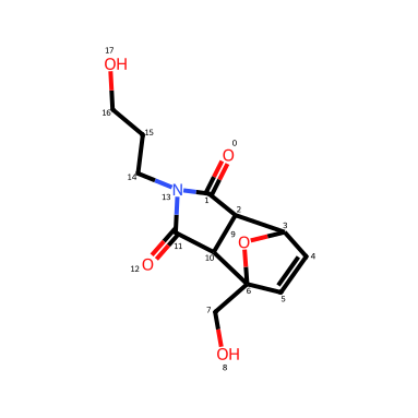 O=C1C2C3C=CC(CO)(O3)C2C(=O)N1CCCO